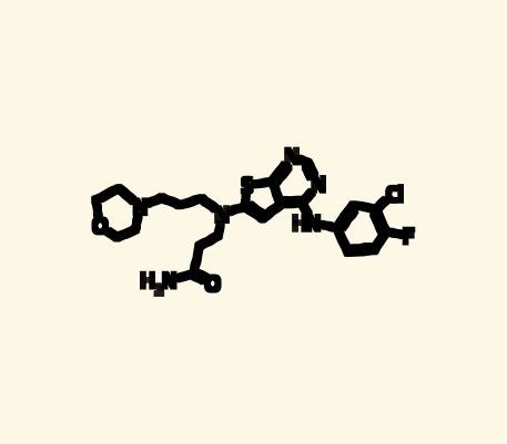 NC(=O)CCN(CCCN1CCOCC1)c1cc2c(Nc3ccc(F)c(Cl)c3)ncnc2s1